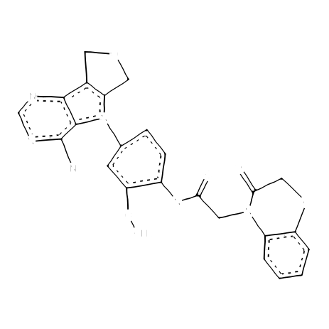 COc1cc(-n2c3c(c4ncnc(N)c42)COC3)ccc1NC(=O)CN1C(=O)COc2ccccc21